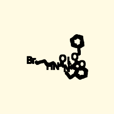 O=C(NCCCCBr)N1CCc2ccccc2[C@]1(I)C(=O)OCc1ccccc1